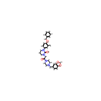 Cc1cc(N2CCCN(CC(=O)N3CCN(Cc4ccc5c(c4)OCO5)CC3)C2=O)ccc1OCc1ccccc1